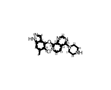 Cc1cc2[nH]ncc2c(Oc2nccc3c(N4CCNCC4)ncnc23)c1Cl